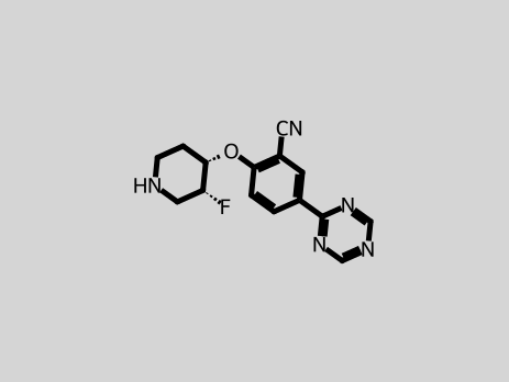 N#Cc1cc(-c2ncncn2)ccc1O[C@H]1CCNC[C@H]1F